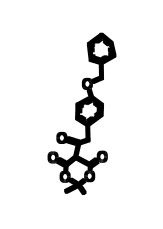 CC1(C)OC(=O)C(C(=O)Cc2ccc(OCc3ccccc3)cc2)C(=O)O1